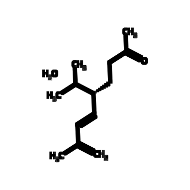 C=C(C)/C=C/[C@@H](CCC(C)=O)C(C)C.O